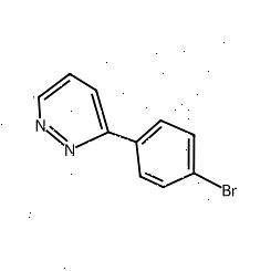 Brc1ccc(-c2cc[c]nn2)cc1